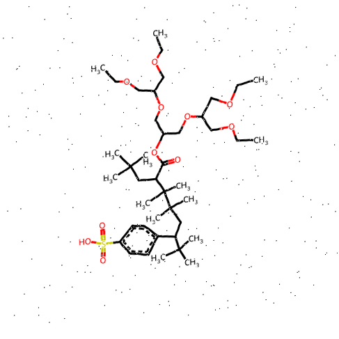 CCOCC(COCC)OCC(COC(COCC)COCC)OC(=O)C(CC(C)(C)C)C(C)(C)C(C)(C)CC(c1ccc(S(=O)(=O)O)cc1)C(C)(C)C